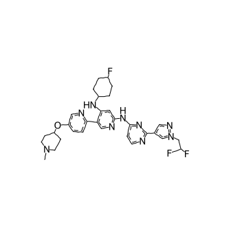 CN1CCC(Oc2ccc(-c3cnc(Nc4ccnc(-c5cnn(CC(F)F)c5)n4)cc3NC3CCC(F)CC3)nc2)CC1